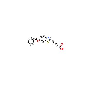 O=C(O)C=CC=Cc1nc2ccc(OCc3ccccc3)cc2s1